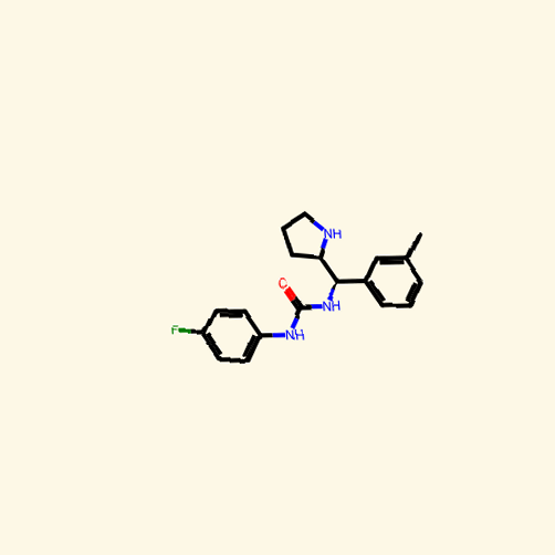 Cc1cccc([C@@H](NC(=O)Nc2ccc(F)cc2)C2CCCN2)c1